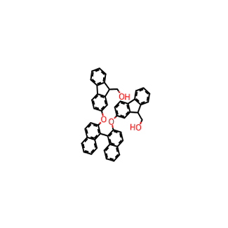 OCC1c2ccccc2-c2ccc(Oc3ccc4ccccc4c3-c3c(Oc4ccc5c(c4)C(CO)c4ccccc4-5)ccc4ccccc34)cc21